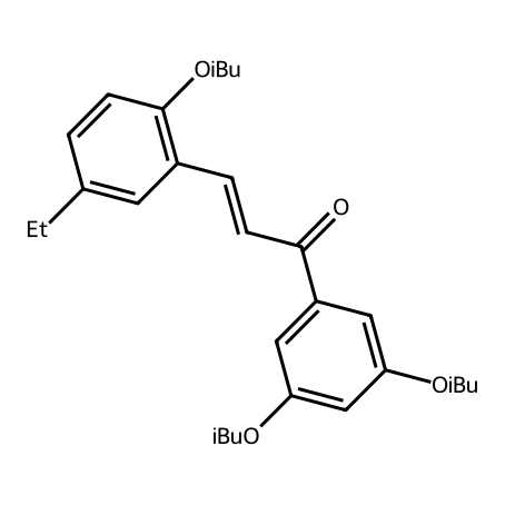 CCc1ccc(OCC(C)C)c(/C=C/C(=O)c2cc(OCC(C)C)cc(OCC(C)C)c2)c1